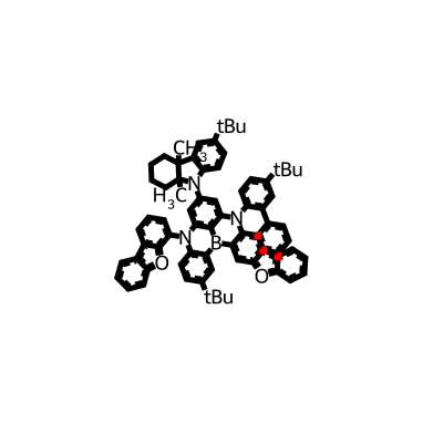 CC(C)(C)c1ccc2c(c1)B1c3cc4oc5ccccc5c4cc3N(c3ccc(C(C)(C)C)cc3-c3ccccc3)c3cc(N4c5ccc(C(C)(C)C)cc5C5(C)CCCCC45C)cc(c31)N2c1cccc2c1oc1ccccc12